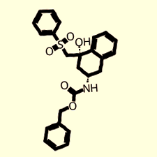 O=C(N[C@H]1Cc2ccccc2[C@](O)(CS(=O)(=O)c2ccccc2)C1)OCc1ccccc1